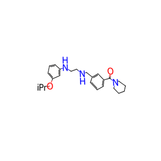 CC(C)Oc1cccc(NCCNCc2cccc(C(=O)N3CCCCC3)c2)c1